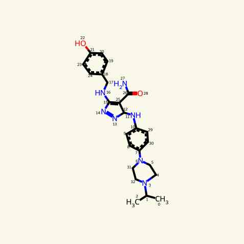 CC(C)N1CCN(c2ccc(NC3N=NC(NCc4ccc(O)cc4)=C3C(N)=O)cc2)CC1